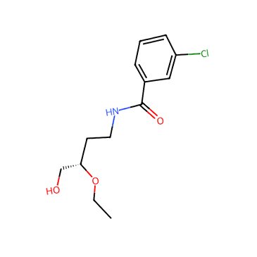 CCO[C@H](CO)CCNC(=O)c1cccc(Cl)c1